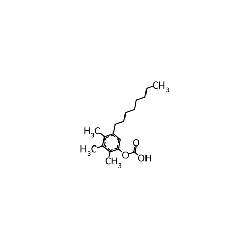 CCCCCCCCc1cc(OC(=O)O)c(C)c(C)c1C